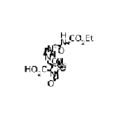 CCOC(=O)CNC(=O)C[n+]1ccn(C[C@@]2(C)[C@H](C(=O)O)N3C(=O)CC3S2(=O)=O)n1